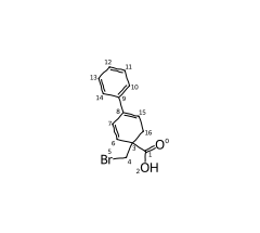 O=C(O)C1(CBr)C=CC(c2ccccc2)=CC1